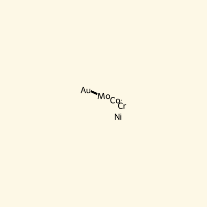 [Co].[Cr].[Mo][Au].[Ni]